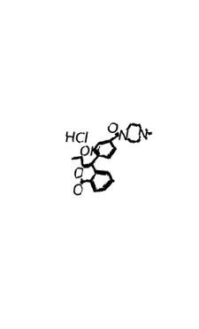 CC(O)c1oc(=O)c2ccccc2c1-c1ccc(C(=O)N2CCN(C)CC2)cc1.Cl